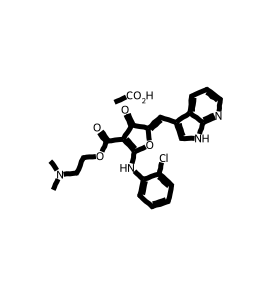 CC(=O)O.CN(C)CCOC(=O)C1=C(Nc2ccccc2Cl)OC(=Cc2c[nH]c3ncccc23)C1=O